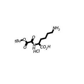 CC(C)(C)OC(=O)C(=O)NC(CCCCN)C(=O)O.Cl